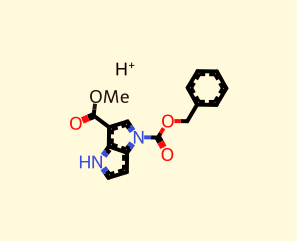 COC(=O)c1cn(C(=O)OCc2ccccc2)c2cc[nH]c12.[H+]